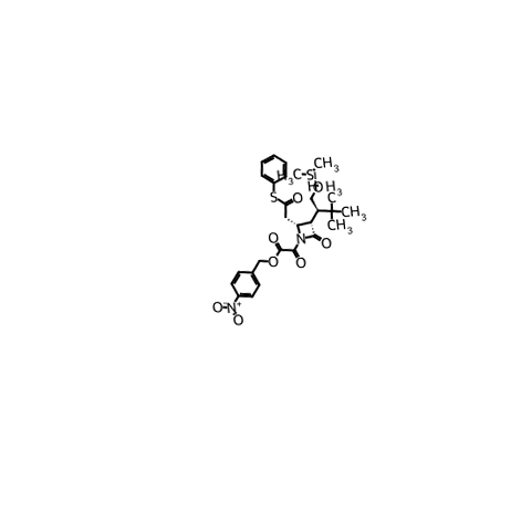 C[SiH](C)OC[C@H]([C@@H]1C(=O)N(C(=O)C(=O)OCc2ccc([N+](=O)[O-])cc2)[C@@H]1CC(=O)Sc1ccccc1)C(C)(C)C